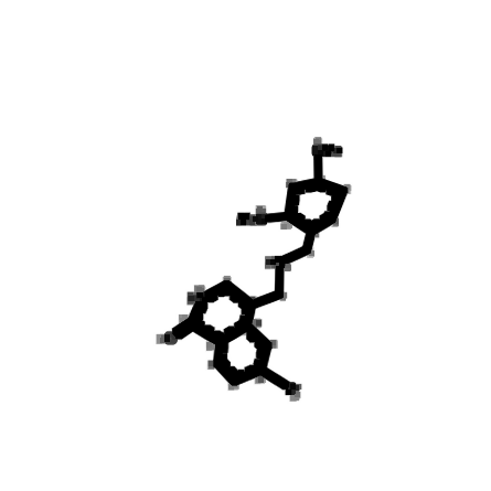 COc1ccc(CNCc2c[nH]c(=O)c3ccc(Br)cc23)c(OC)c1